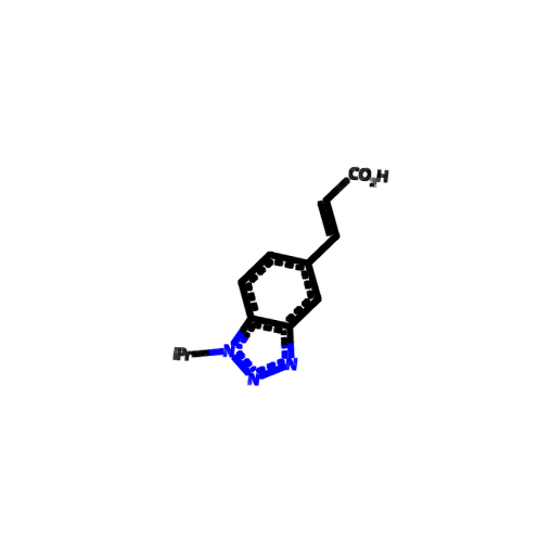 CC(C)n1nnc2cc(/C=C/C(=O)O)ccc21